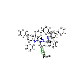 CC(=Nc1c(C2CCCCC2)cc(C2CCCCC2)cc1C1CCCCC1)c1cc(Cl)cc(C(C)=Nc2c(C3CCCCC3)cc(C3CCCCC3)cc2C2CCCCC2)n1.[Cl-].[Cl-].[Cl-].[Nd+3]